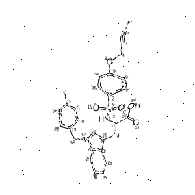 CC#CCOc1ccc(S(=O)(=O)N[C@@H](Cc2cn(Cc3ccc(C)cc3)c3ccccc23)C(=O)O)cc1